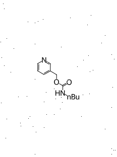 CCCCNC(=O)OCc1cccnc1